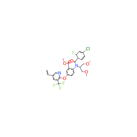 C=Cc1cnc(Oc2ccc(N(C(=O)C3C=CC(Cl)=CC3F)C(COC)COC)c(C(=O)OC)c2)c(C(F)(F)F)c1